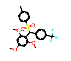 COc1cc(OC)c(C(c2ccc(C(F)(F)F)cc2)S(=O)(=O)c2ccc(C)cc2)c(OC)c1